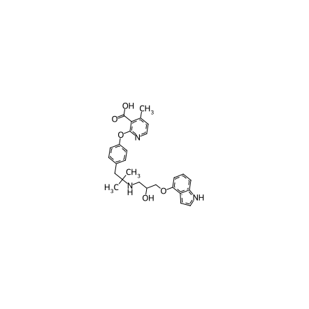 Cc1ccnc(Oc2ccc(CC(C)(C)NCC(O)COc3cccc4[nH]ccc34)cc2)c1C(=O)O